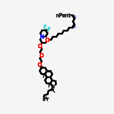 CCCCC/C=C\C/C=C\CCCCCCCCOCC(CN1CCC(F)(F)CC1)OCCOCCO[C@H]1CC[C@@]2(C)C(=CCC3C2CC[C@@]2(C)C3CC[C@@H]2[C@H](C)CCCC(C)C)C1